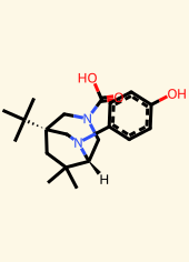 CC1(C)C[C@@]2(C(C)(C)C)CN(C(=O)O)C[C@H]1N(c1ccc(O)cc1)C2